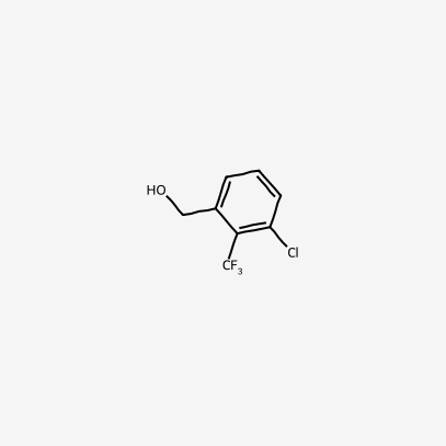 OCc1cccc(Cl)c1C(F)(F)F